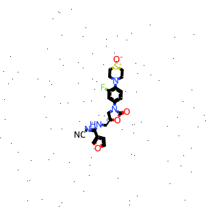 N#C/N=C(/NC[C@H]1CN(c2ccc(N3CC[S+]([O-])CC3)c(F)c2)C(=O)O1)c1ccoc1